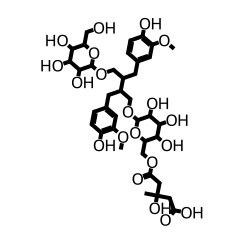 COc1cc(CC(COC2OC(CO)C(O)C(O)C2O)C(COC2OC(COC(=O)CC(C)(O)CC(=O)O)C(O)C(O)C2O)Cc2ccc(O)c(OC)c2)ccc1O